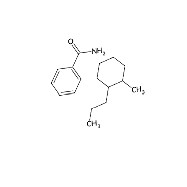 CCCC1CCCCC1C.NC(=O)c1ccccc1